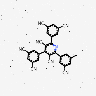 Cc1cc(C#N)cc(-c2nc(-c3cc(C#N)cc(C#N)c3)c(C#N)c(-c3cc(C#N)cc(C#N)c3)c2C#N)c1